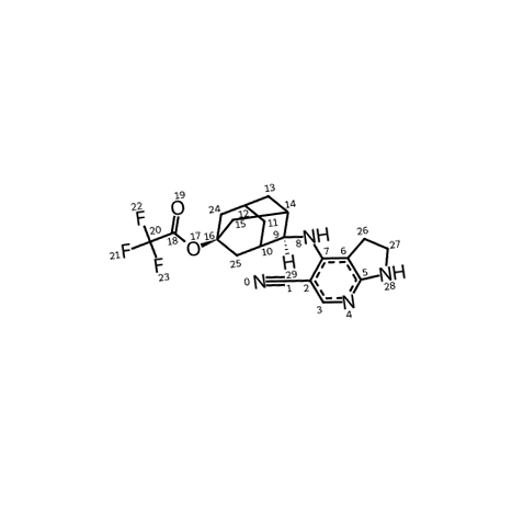 N#Cc1cnc2c(c1N[C@H]1C3CC4CC1C[C@@](OC(=O)C(F)(F)F)(C4)C3)CCN2